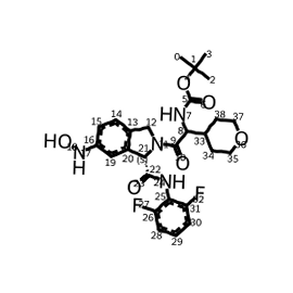 CC(C)(C)OC(=O)NC(C(=O)N1Cc2ccc(NO)cc2[C@H]1C(=O)Nc1c(F)cccc1F)C1CCOCC1